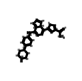 NC(=O)c1coc(-c2cnc(Nc3ccc(N4CCNCC4)cc3)c3ncnn23)c1